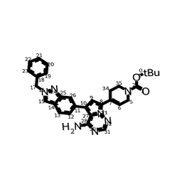 CC(C)(C)OC(=O)N1CC=C(c2cc(-c3ccc4cn(Cc5ccccc5)nc4c3)c3c(N)ncnn23)CC1